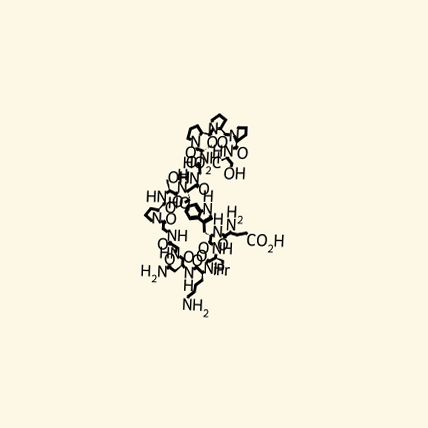 CC(C)C[C@H](NC(=O)[C@H](Cc1c[nH]c2ccccc12)NC(=O)[C@@H](N)CCC(=O)O)C(=O)N[C@@H](CCCCN)C(=O)N[C@@H](CC(N)=O)C(=O)NCC(=O)NCC(=O)N1CCC[C@H]1C(=O)N[C@@H](CO)C(=O)N[C@@H](CO)C(=O)NCC(=O)N[C@@H](C)C(=O)N1CCC[C@H]1C(=O)N1CCC[C@H]1C(=O)N1CCC[C@H]1C(=O)N[C@@H](CO)C(=O)O